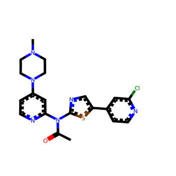 CC(=O)N(c1cc(N2CCN(C)CC2)ccn1)c1ncc(-c2ccnc(Cl)c2)s1